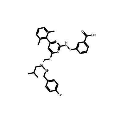 Cc1cccc(C)c1-c1cc(OC[C@@H](CC(C)C)NCc2ccc(Br)cc2)nc(NSc2cccc(C(=O)O)c2)n1